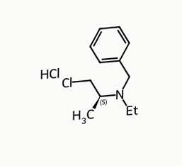 CCN(Cc1ccccc1)[C@@H](C)CCl.Cl